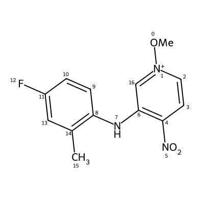 CO[n+]1ccc([N+](=O)[O-])c(Nc2ccc(F)cc2C)c1